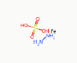 NN.O=S(=O)(O)O.[Fe]